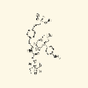 CCOP(=O)(COc1ccc(C[C@H](NC(=O)O[C@H]2CO[C@H]3OCC[C@H]32)[C@H](O)CN(C[C@@H](C)CC)S(=O)(=O)c2ccc(N)cc2)cc1)OCC